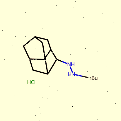 CCCCNNC1C2CC3CC(C2)CC1C3.Cl